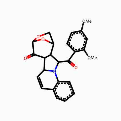 COc1ccc(C(=O)C2C3C4COC(O4)C(=O)C3C3C=Cc4ccccc4N32)c(OC)c1